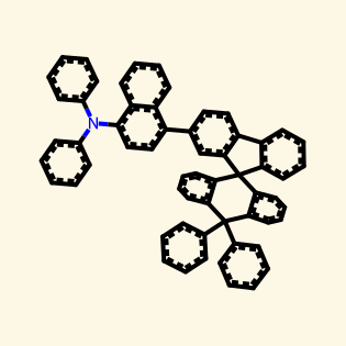 c1ccc(N(c2ccccc2)c2ccc(-c3ccc4c(c3)C3(c5ccccc5-4)c4ccccc4C(c4ccccc4)(c4ccccc4)c4ccccc43)c3ccccc23)cc1